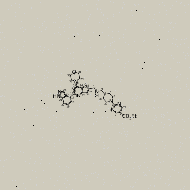 CCOC(=O)c1cnc(N2CCC(CNCc3cc4nc(-c5cccc6[nH]ncc56)nc(N5CCOCC5)c4s3)CC2)nc1